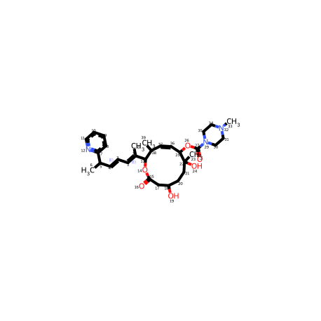 C/C(=C\C=C\C(C)c1ccccn1)C1OC(=O)CC(O)CCC(C)(O)C(OC(=O)N2CCN(C)CC2)C=CC1C